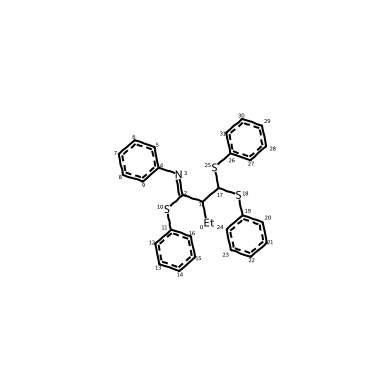 CCC(C(=Nc1ccccc1)Sc1ccccc1)C(Sc1ccccc1)Sc1ccccc1